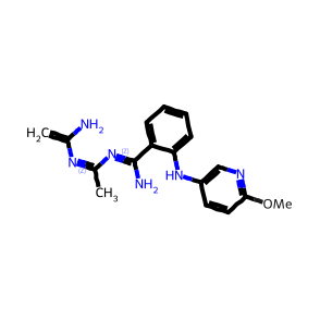 C=C(N)/N=C(C)\N=C(/N)c1ccccc1Nc1ccc(OC)nc1